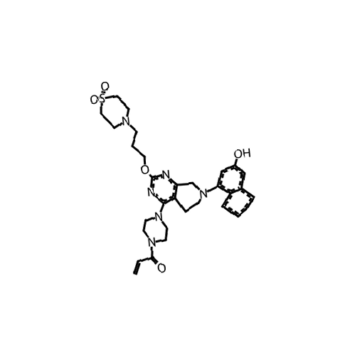 C=CC(=O)N1CCN(c2nc(OCCCN3CCS(=O)(=O)CC3)nc3c2CCN(c2cc(O)cc4ccccc24)C3)CC1